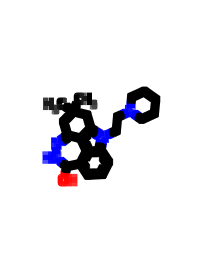 CC1(C)CC2=NNC(O)c3cccc4c3c2c(n4CCN2CCCCC2)C1